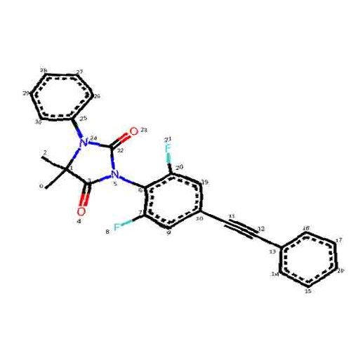 CC1(C)C(=O)N(c2c(F)cc(C#Cc3ccccc3)cc2F)C(=O)N1c1ccccc1